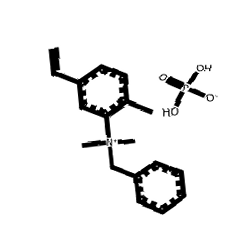 C=Cc1ccc(C)c([N+](C)(C)Cc2ccccc2)c1.O=P([O-])(O)O